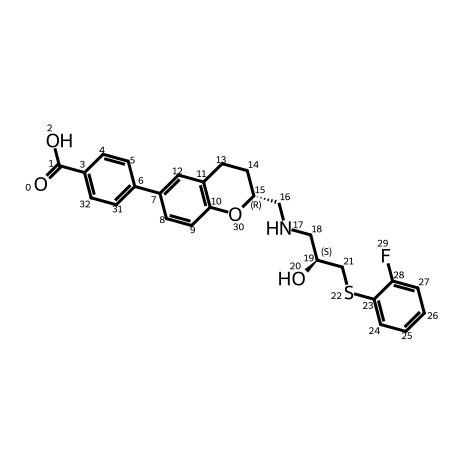 O=C(O)c1ccc(-c2ccc3c(c2)CC[C@H](CNC[C@H](O)CSc2ccccc2F)O3)cc1